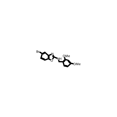 COc1ccc(CNc2nc3cc(Br)ccc3o2)c(OC)c1